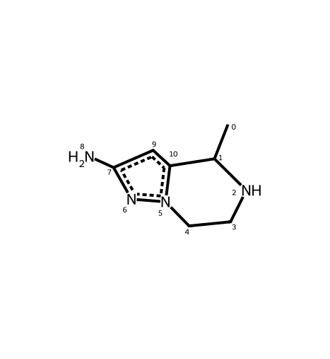 CC1NCCn2nc(N)cc21